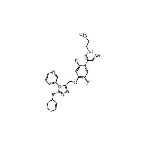 N=C/C(=N\NCCO)c1cc(F)c(OCc2nnc(SC3C=CCCC3)n2-c2cccnc2)cc1F